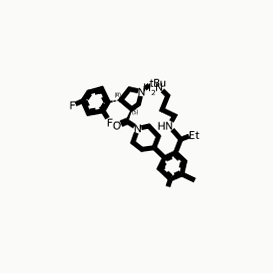 CCC(NCCCN)c1cc(C)c(C)cc1C1CCN(C(=O)[C@@H]2CN(C(C)(C)C)C[C@H]2c2ccc(F)cc2F)CC1